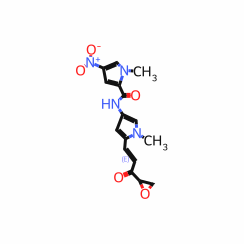 Cn1cc(NC(=O)c2cc([N+](=O)[O-])cn2C)cc1/C=C/C(=O)C1CO1